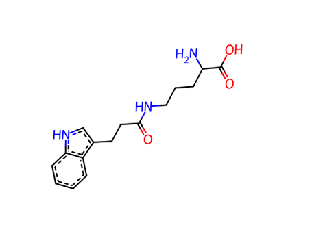 NC(CCCNC(=O)CCc1c[nH]c2ccccc12)C(=O)O